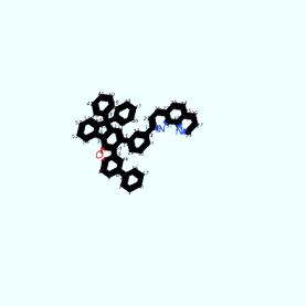 c1ccc(-c2ccc3oc4c5c(cc(-c6cccc(-c7ccc8ccc9cccnc9c8n7)c6)c4c3c2)C(c2ccccc2)(c2ccccc2)c2ccccc2-5)cc1